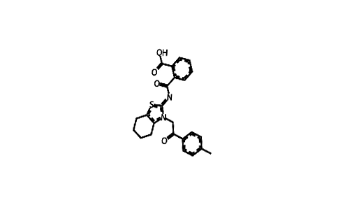 Cc1ccc(C(=O)Cn2c3c(s/c2=N\C(=O)c2ccccc2C(=O)O)CCCC3)cc1